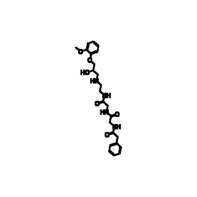 COc1ccccc1OCC(O)CNCCNC(=O)CNC(=O)CNC(=O)Cc1ccccc1